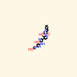 CN1C=C(c2ccnc(N3CCn4c(cc5c4CC(C)(C)C5)C3=O)c2CO)C=C(Nc2ccc(N3CC(O)C3)cn2)C1O